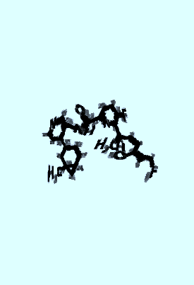 C=C(/C=C\C(O)=C/CF)c1nc(C(=O)Nc2cnccc2[C@H]2CCC3CC3(C)C2)ccc1F